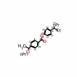 CCCOC(C)c1ccc(C(=O)Oc2ccc(C(CC)CCC)cc2)cc1